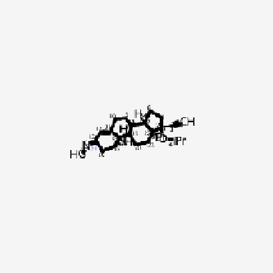 C#C[C@]1(OC(C)C)CC[C@H]2[C@@H]3CCC4=C/C(=N/O)CC[C@@H]4[C@H]3CC[C@@]21CC